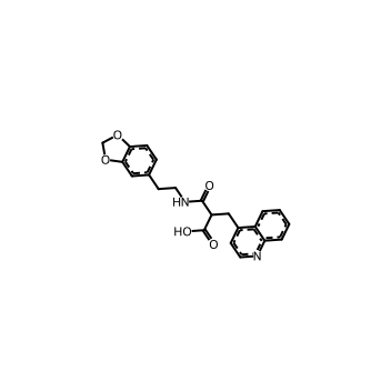 O=C(O)C(Cc1ccnc2ccccc12)C(=O)NCCc1ccc2c(c1)OCO2